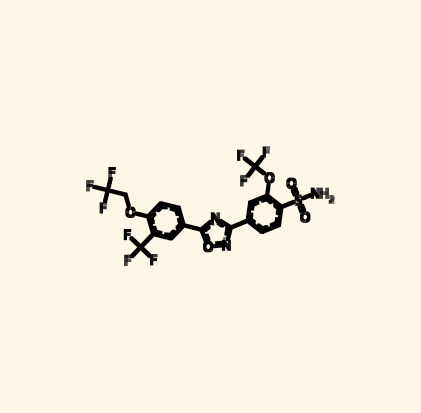 NS(=O)(=O)c1ccc(-c2noc(-c3ccc(OCC(F)(F)F)c(C(F)(F)F)c3)n2)cc1OC(F)(F)F